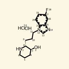 Cl.Cl.O[C@H]1CCCN[C@@H]1CCCn1cnc2cc(F)ccc21